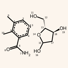 Cc1cncc(C(N)=O)c1C.OC[C@H]1OC(O)C[C@@H]1O